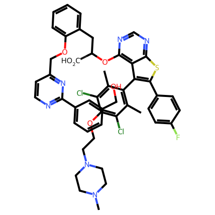 Cc1c(Cl)c(OCCN2CCN(C)CC2)c(Cl)c(C)c1-c1c(-c2ccc(F)cc2)sc2ncnc(OC(Cc3ccccc3OCc3ccnc(-c4cccc(CO)c4)n3)C(=O)O)c12